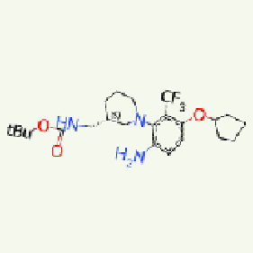 CC(C)(C)OC(=O)NC[C@@H]1CCCN(c2c(N)ccc(OC3CCCC3)c2C(F)(F)F)C1